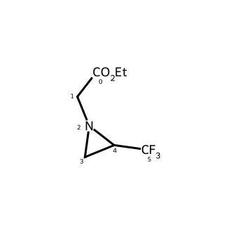 CCOC(=O)CN1CC1C(F)(F)F